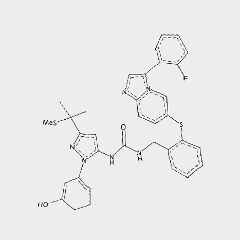 CSC(C)(C)c1cc(NC(=O)NCc2ccccc2Sc2ccc3ncc(-c4ccccc4F)n3c2)n(C2=CCCC(O)=C2)n1